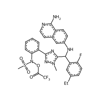 CCc1ccc(F)c(C(Nc2ccc3c(N)nccc3c2)c2nc(-c3ccccc3N(OC(=O)C(F)(F)F)S(C)(=O)=O)nn2C)c1